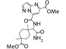 COC(=O)c1cc(C(=O)NC(C(N)=O)C2(C)CCC(C)(C(=O)OC)CC2)n2nccc2n1